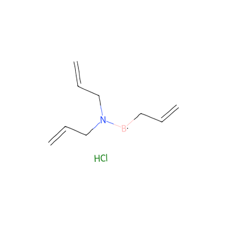 C=CC[B]N(CC=C)CC=C.Cl